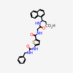 O=C(O)CC(NC(=O)CNC(=O)c1ccc(NC(=O)NCc2ccccc2)s1)c1cccc2ccccc12